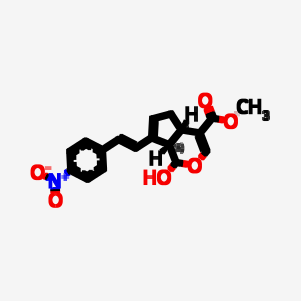 COC(=O)C1=COC(O)[C@@H]2C(C=Cc3ccc([N+](=O)[O-])cc3)=CC[C@H]12